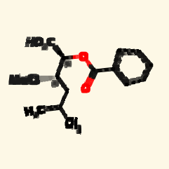 C=C(C)C[C@H](OC)[C@H](OC(=O)c1ccccc1)C(=O)O